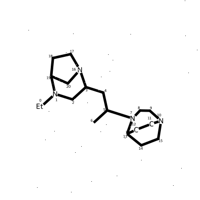 CCN1CC(CC(C)N2CCN3CCC2CC3)N2CCC1C2